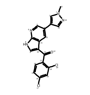 Cn1cc(-c2cnc3[nH]cc(C(=O)c4ccc(Cl)cc4Cl)c3c2)cn1